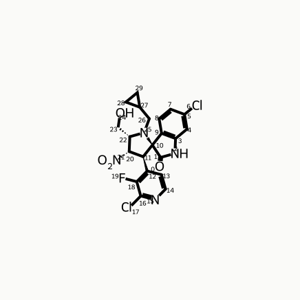 O=C1Nc2cc(Cl)ccc2[C@@]12[C@@H](c1ccnc(Cl)c1F)[C@H]([N+](=O)[O-])[C@H](CO)N2CC1CC1